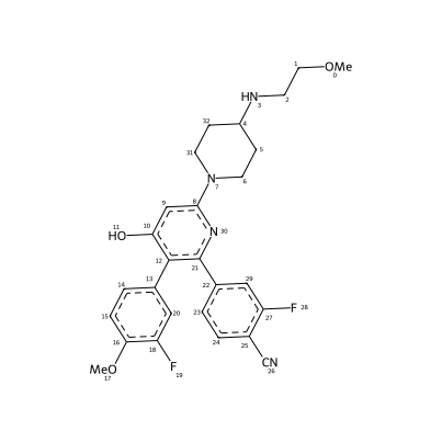 COCCNC1CCN(c2cc(O)c(-c3ccc(OC)c(F)c3)c(-c3ccc(C#N)c(F)c3)n2)CC1